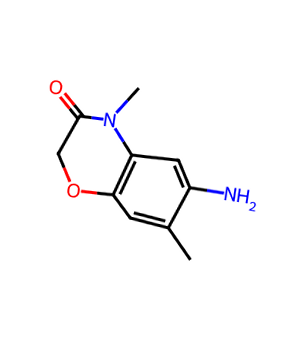 Cc1cc2c(cc1N)N(C)C(=O)CO2